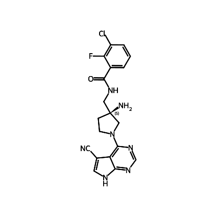 N#Cc1c[nH]c2ncnc(N3CC[C@](N)(CNC(=O)c4cccc(Cl)c4F)C3)c12